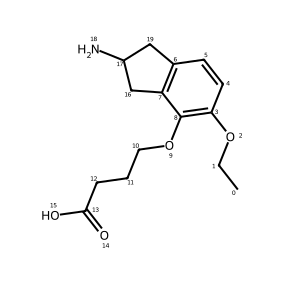 CCOc1ccc2c(c1OCCCC(=O)O)CC(N)C2